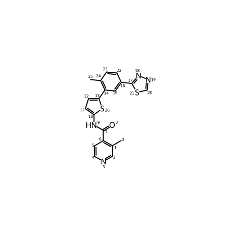 Cc1cnccc1C(=O)Nc1ccc(-c2cc(-c3nncs3)ccc2C)s1